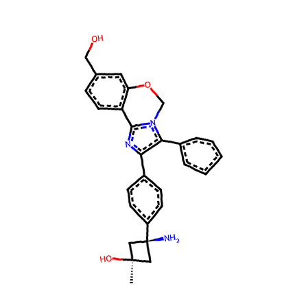 C[C@]1(O)C[C@](N)(c2ccc(-c3nc4n(c3-c3ccccc3)COc3cc(CO)ccc3-4)cc2)C1